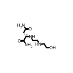 NC(=O)C[C@H](NCCNCCO)C(N)=O